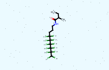 CCC(C)C(=O)NCCCC(F)(F)C(F)(F)C(F)(F)C(F)(F)C(F)(F)C(F)F